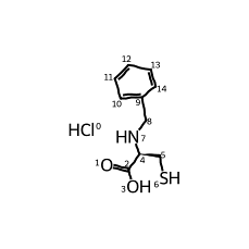 Cl.O=C(O)[C@H](CS)NCc1ccccc1